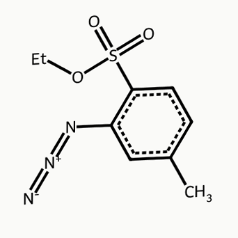 CCOS(=O)(=O)c1ccc(C)cc1N=[N+]=[N-]